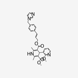 COC(=O)C1=C(C)NC(C)=C(C(=O)OCC=Cc2ccc(Cn3ccnc3)cc2)C1c1cccnc1OC